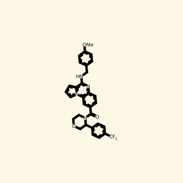 COc1ccc(CNc2nc3ccc(C(=O)N4CCOCC4c4ccc(C(F)(F)F)cc4)cc3n3cccc23)cc1